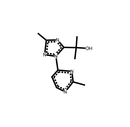 Cc1nccc(-n2nc(C)nc2C(C)(C)O)n1